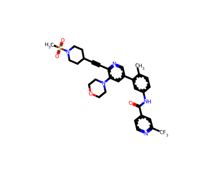 Cc1ccc(NC(=O)c2ccnc(C(F)(F)F)c2)cc1-c1cnc(C#CC2CCN(S(C)(=O)=O)CC2)c(N2CCOCC2)c1